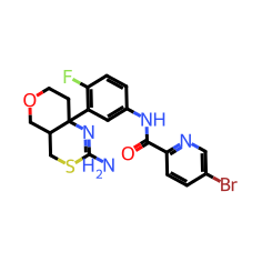 NC1=NC2(c3cc(NC(=O)c4ccc(Br)cn4)ccc3F)CCOCC2CS1